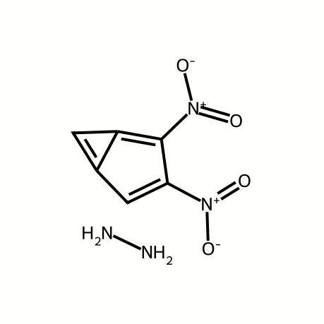 NN.O=[N+]([O-])c1cc2cc-2c1[N+](=O)[O-]